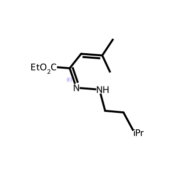 CCOC(=O)/C(C=C(C)C)=N/NCCC(C)C